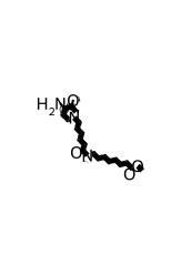 COC(=O)CCCCCCCN(C)C(=O)CCCCCN1CC[C@@H](N)[C@@H](OC)C1